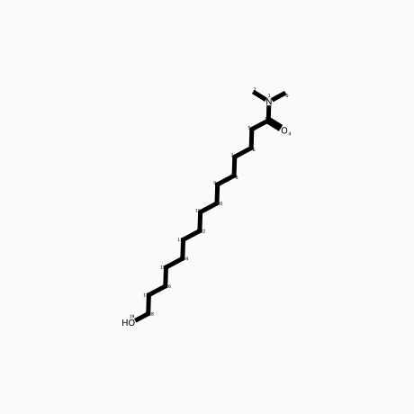 CN(C)C(=O)CCCCCCCCCCCCCCO